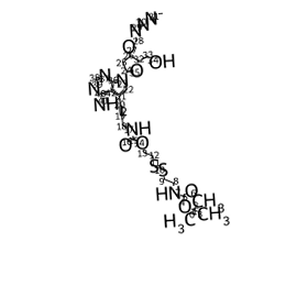 CC(C)(C)OC(=O)NCCSSCCOC(=O)NCC#Cc1cn([C@H]2C[C@@H](OCN=[N+]=[N-])[C@@H](CO)O2)c2ncnc(N)c12